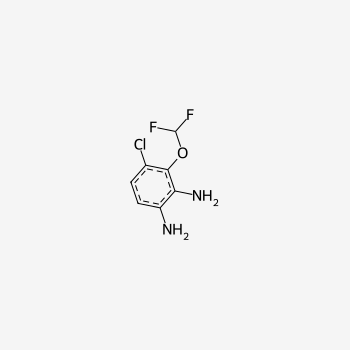 Nc1ccc(Cl)c(OC(F)F)c1N